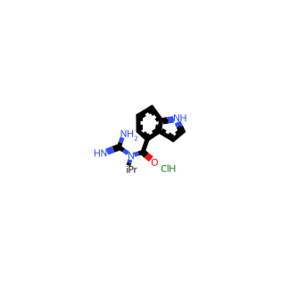 CC(C)N(C(=N)N)C(=O)c1cccc2[nH]ccc12.Cl